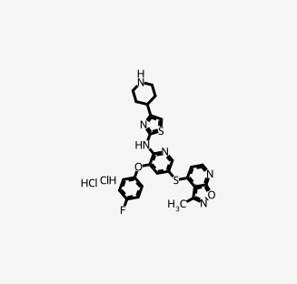 Cc1noc2nccc(Sc3cnc(Nc4nc(C5CCNCC5)cs4)c(Oc4ccc(F)cc4)c3)c12.Cl.Cl